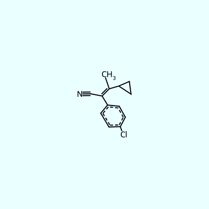 CC(=C(C#N)c1ccc(Cl)cc1)C1CC1